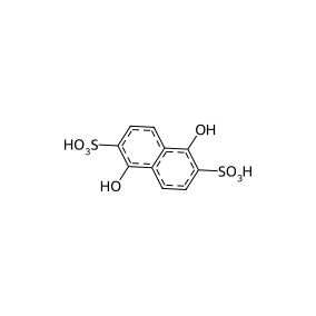 O=S(=O)(O)c1ccc2c(O)c(S(=O)(=O)O)ccc2c1O